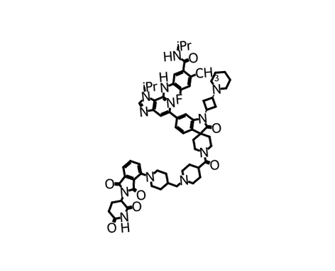 Cc1cc(F)c(Nc2nc(-c3ccc4c(c3)N([C@H]3C[C@@H](N5CCCCC5)C3)C(=O)C43CCN(C(=O)C4CCN(CC5CCN(c6cccc7c6C(=O)N(C6CCC(=O)NC6=O)C7=O)CC5)CC4)CC3)cc3ncn(C(C)C)c23)cc1C(=O)NC(C)C